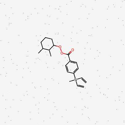 C=C[Si](C)(C=C)c1ccc(C(=O)OO[C]2CCCC(C)C2C)cc1